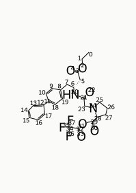 CCOC(=O)C[C@@H](Cc1ccc(-c2ccccc2)cc1)NC(=O)CN1CCCC1C(=O)OC(=O)C(F)(F)F